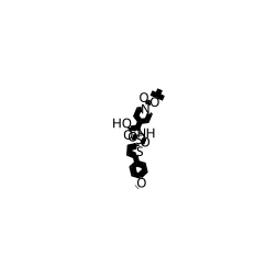 COc1ccc(-c2ccc(S(=O)(=O)N[C@@H](C(=O)O)C3CCN(C(=O)OC(C)(C)C)CC3)s2)cc1